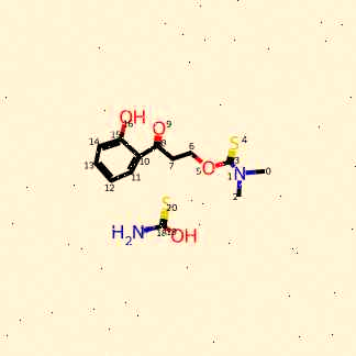 CN(C)C(=S)OCCC(=O)c1ccccc1O.NC(O)=S